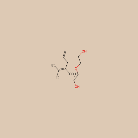 C=CCC(C(=O)O)=C(CC)CC.OCCOCCO